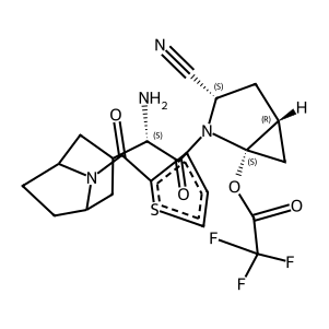 N#C[C@@H]1C[C@@H]2C[C@@]2(OC(=O)C(F)(F)F)N1C(=O)[C@@H](N)C1CC2CCC(C1)N2C(=O)c1cccs1